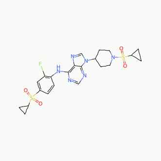 O=S(=O)(c1ccc(Nc2ncnc3c2ncn3C2CCN(S(=O)(=O)C3CC3)CC2)c(F)c1)C1CC1